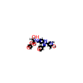 Cc1cc(-c2nc3ccc(CN[C@H](C(=O)O[C@H]4CCOC4)[C@H](C)O)cc3n2CC2CCOCC2)cn(C)c1=O